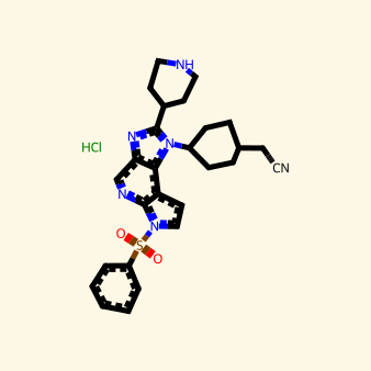 Cl.N#CCC1CCC(n2c(C3CCNCC3)nc3cnc4c(ccn4S(=O)(=O)c4ccccc4)c32)CC1